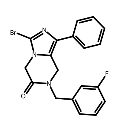 O=C1Cn2c(Br)nc(-c3ccccc3)c2CN1Cc1cccc(F)c1